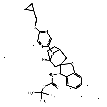 CC(C)(C)OC(=O)N[C@@H]1c2ccccc2O[C@]12CC1CC[C@@H](C2)N1c1cnc(SCC2CC2)cn1